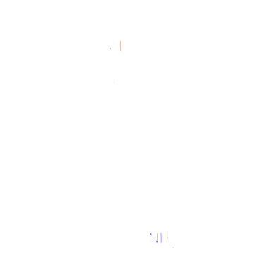 CC(C)(S)c1ccc(N)cc1